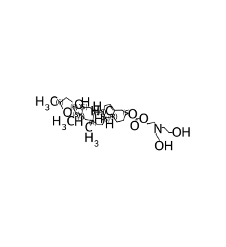 C[C@H]1CC[C@]2(OC1)O[C@H]1C[C@H]3[C@@H]4CC=C5C[C@@H](OC(=O)OCCN(CCO)CCO)CC[C@]5(C)[C@H]4CC[C@]3(C)C[C@H]1[C@@H]2C